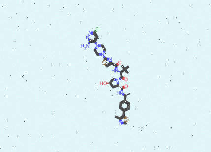 Cc1ncsc1-c1ccc([C@H](C)NC(=O)[C@@H]2C[C@@H](O)CN2C(=O)[C@@H](NC(=O)c2csc(N3CCN(c4cc(Cl)nnc4N)CC3)n2)C(C)(C)C)cc1